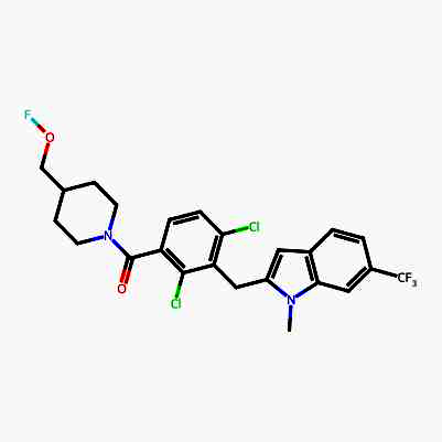 Cn1c(Cc2c(Cl)ccc(C(=O)N3CCC(COF)CC3)c2Cl)cc2ccc(C(F)(F)F)cc21